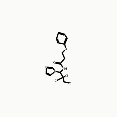 O=C(CCOc1ccccc1)NC(n1ccnc1)C(Cl)(Cl)CCl